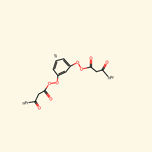 CCCC(=O)CC(=O)OOc1cccc(OOC(=O)CC(=O)CCC)c1.[Ti]